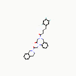 N[C@@H](CC(=O)N1CC(=O)N(CC(=O)N2CCc3ccccc3C2)c2ccccc2C1)Cc1cc(F)c(F)cc1F